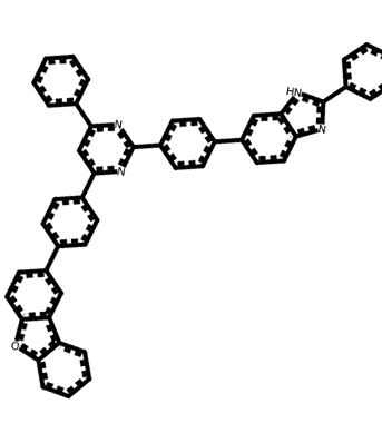 c1ccc(-c2cc(-c3ccc(-c4ccc5oc6ccccc6c5c4)cc3)nc(-c3ccc(-c4ccc5nc(-c6ccccc6)[nH]c5c4)cc3)n2)cc1